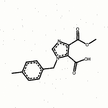 COC(=O)c1ncn(Cc2ccc(C)cc2)c1C(=O)O